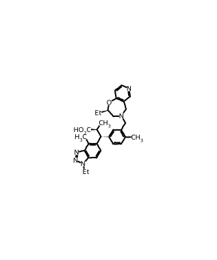 CC[C@@H]1CN(Cc2cc([C@H](c3ccc4c(nnn4CC)c3C)[C@H](C)C(=O)O)ccc2C)Cc2cnccc2O1